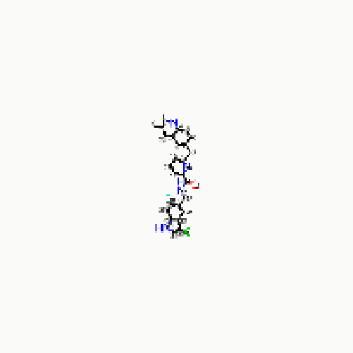 Cc1cnc2ccc(Cc3cccc(C(=O)NCc4cc5c(Cl)c[nH]c5cc4F)n3)cc2c1